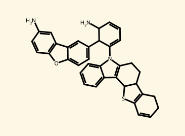 Nc1ccc2oc3ccc(C4C(n5c6c(c7ccccc75)C5SC7=C(CCC=C7)C5CC6)=CC=CC4N)cc3c2c1